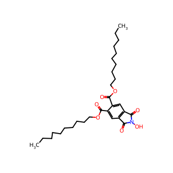 CCCCCCCCCCOC(=O)c1cc2c(cc1C(=O)OCCCCCCCCCC)C(=O)N(O)C2=O